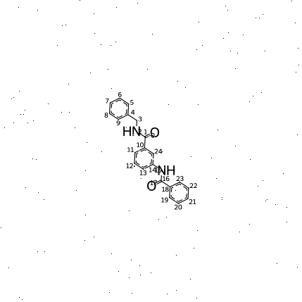 O=C(NCc1ccccc1)c1c[c]cc(NC(=O)c2ccccc2)c1